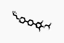 CCCC[SiH]1CCC(C2CCC(c3cc(F)c(OCC(F)F)c(F)c3)CC2)CC1